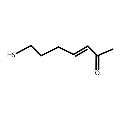 CC(=O)C=CCCCS